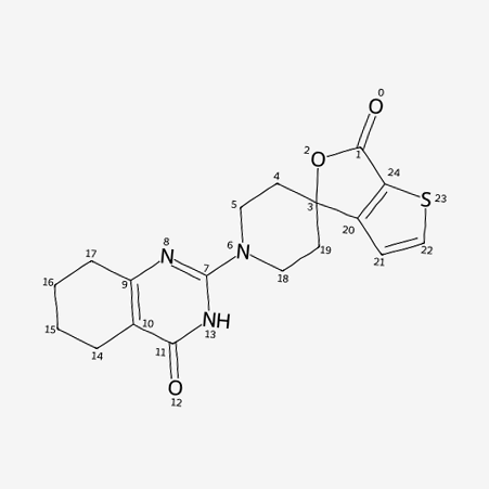 O=C1OC2(CCN(c3nc4c(c(=O)[nH]3)CCCC4)CC2)c2ccsc21